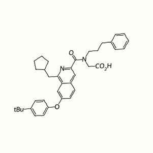 CC(C)(C)c1ccc(Oc2ccc3cc(C(=O)N(CCCc4ccccc4)CC(=O)O)nc(CC4CCCC4)c3c2)cc1